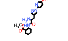 COC(=O)C1=C(NC(=O)C(N)Cc2cnn(-c3ccc(O)cn3)c2)CCCC1